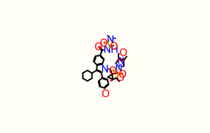 COc1ccc(-c2c(C3CCCCC3)c3ccc(C(=O)NS(=O)(=O)N(C)C)cc3n2CC2(C(=O)N3CC45COCC4(C3)CN(S(=O)(=O)C(C)C)C5)CC2)cc1